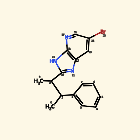 CC(c1ccccc1)C(C)c1nc2cc(Br)cnc2[nH]1